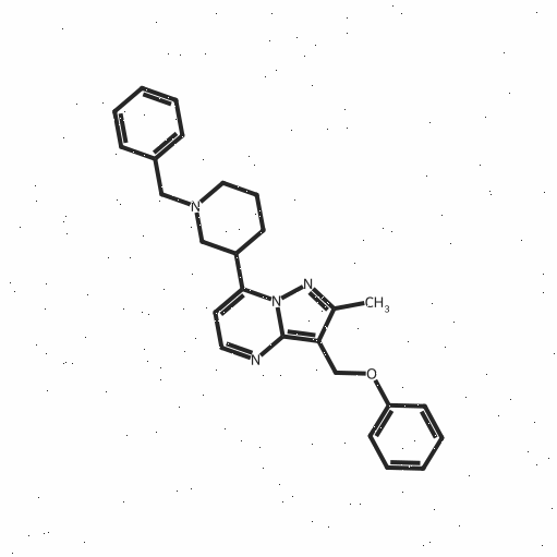 Cc1nn2c(C3CCCN(Cc4ccccc4)C3)ccnc2c1COc1ccccc1